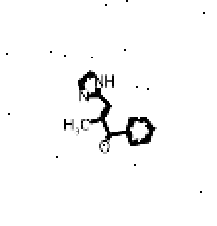 CC(=Cc1ncc[nH]1)C(=O)c1ccccc1